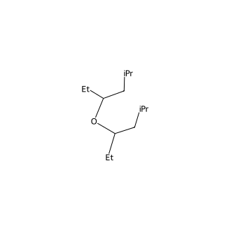 CCC(CC(C)C)OC(CC)CC(C)C